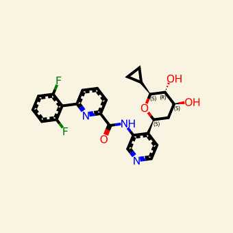 O=C(Nc1cnccc1[C@@H]1C[C@H](O)[C@@H](O)[C@H](C2CC2)O1)c1cccc(-c2c(F)cccc2F)n1